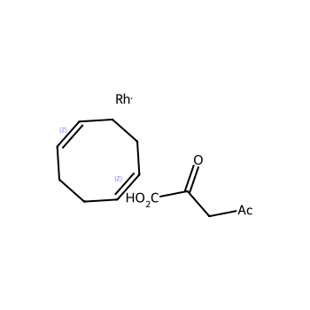 C1=C\CC/C=C\CC/1.CC(=O)CC(=O)C(=O)O.[Rh]